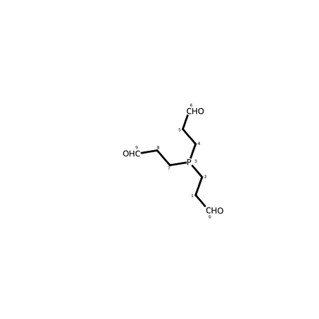 O=CCCP(CCC=O)CCC=O